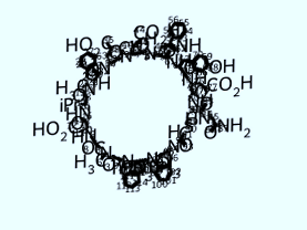 CCCCC[C@H]1C(=O)N(C)CC(=O)N[C@@H](CC(=O)O)C(=O)N[C@@H](C(C)C)C(=O)N(C)[C@@H](Cc2ccccc2)C(=O)N[C@@H](CCC(=O)O)C(=O)N(C)[C@@H](CCC(=O)O)C(=O)N[C@@H](Cc2c[nH]c3ccccc23)C(=O)NC(Cc2ccc(O)cc2)C(=O)N[C@@H](CCC(=O)O)C(=O)N[C@H](C(=O)NCC(N)=O)CSCC(=O)N[C@@H](Cc2ccccc2)C(=O)N(C)[C@@H](Cc2ccccc2)C(=O)N1C